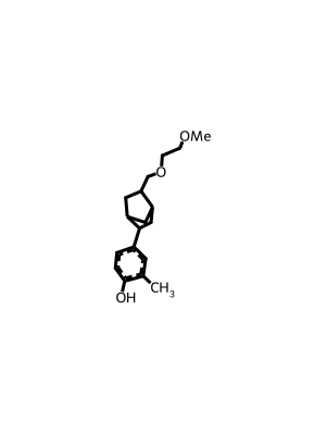 COCCOCC1CC2CC1CC2c1ccc(O)c(C)c1